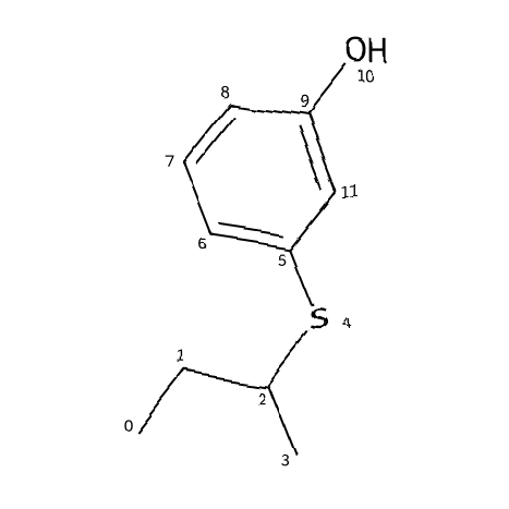 CCC(C)Sc1cccc(O)c1